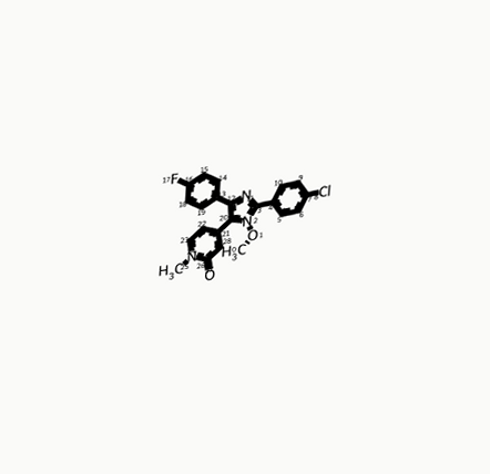 COn1c(-c2ccc(Cl)cc2)nc(-c2ccc(F)cc2)c1-c1ccn(C)c(=O)c1